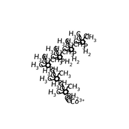 CCOc1c(CC)cc(P)cc1CC.CCOc1c(CC)cc(P)cc1CC.CCOc1c(CC)cc(P)cc1CC.CCOc1c(CC)cc(P)cc1CC.CCOc1c(CC)cc(P)cc1CC.CCOc1c(CC)cc(P)cc1CC.[Cl-].[Cl-].[Cl-].[Cl-].[Co+3]